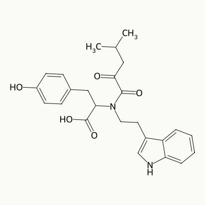 CC(C)CC(=O)C(=O)N(CCc1c[nH]c2ccccc12)C(Cc1ccc(O)cc1)C(=O)O